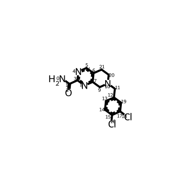 NC(=O)c1n[c]c2c(n1)CN(Cc1ccc(Cl)c(Cl)c1)CC2